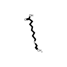 C=CCSCCCCCCCC(=O)O